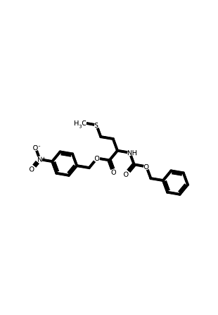 CSCCC(NC(=O)OCc1ccccc1)C(=O)OCc1ccc([N+](=O)[O-])cc1